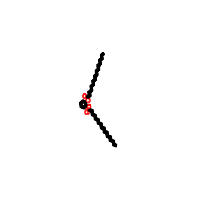 CCCCCCCCC=CCCCCCCCC(=O)OC1CCCCC1OC(=O)CCCCCCCC=CCCCCCCCC